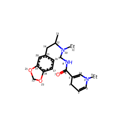 CCN1C=CCC(C(=O)NCN(CC)C(C)Cc2ccc3c(c2)OCO3)=C1